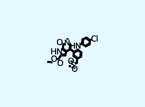 CCOC(=O)c1cc2c(-c3cc(CS(C)(=O)=O)ccc3Nc3ccc(Cl)cc3)cn(C)c(=O)c2[nH]1